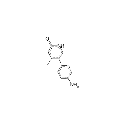 Cc1cc(=O)[nH]cc1-c1ccc(N)cc1